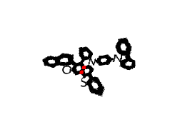 c1ccc(N(c2ccc(-n3c4ccccc4c4ccccc43)cc2)c2ccc3sc4ccccc4c3c2)c(-c2cccc3oc4c5ccccc5ccc4c23)c1